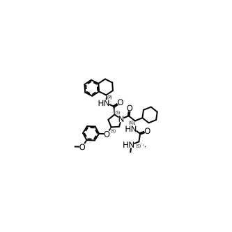 CN[C@@H](C)C(=O)N[C@H](C(=O)N1C[C@@H](Oc2cccc(OC)c2)C[C@H]1C(=O)N[C@@H]1CCCc2ccccc21)C1CCCCC1